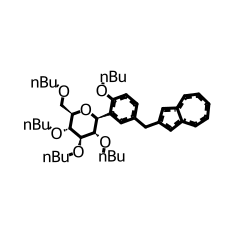 CCCCOC[C@H]1O[C@@H](c2cc(Cc3cc4cccccc-4c3)ccc2OCCCC)[C@H](OCCCC)[C@@H](OCCCC)[C@@H]1OCCCC